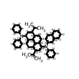 CC(C)C1=CC(N(c2ccccc2)c2ccccc2)C2=CCc3c(C(C)C)cc(N(c4ccccc4)c4ccc5ccccc5c4)c4ccc1c2c34